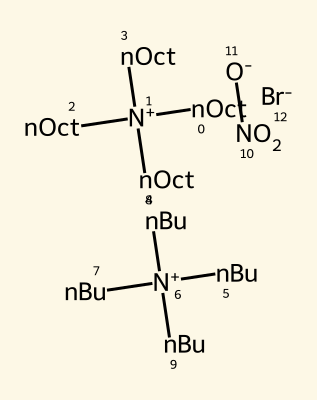 CCCCCCCC[N+](CCCCCCCC)(CCCCCCCC)CCCCCCCC.CCCC[N+](CCCC)(CCCC)CCCC.O=[N+]([O-])[O-].[Br-]